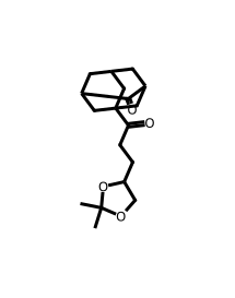 CC1(C)OCC(CCC(=O)C23CC4CC(C2)C(=O)C(C4)C3)O1